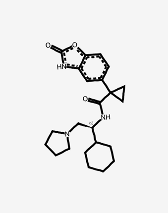 O=C(N[C@H](CN1CCCC1)C1CCCCC1)C1(c2ccc3oc(=O)[nH]c3c2)CC1